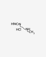 CCNCCCN=C=N.Cl